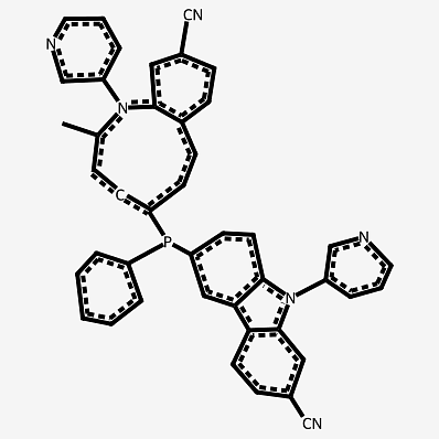 Cc1ccc(P(c2ccccc2)c2ccc3c(c2)c2ccc(C#N)cc2n3-c2cccnc2)ccc2ccc(C#N)cc2n1-c1cccnc1